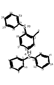 Cc1cc([SH](c2ccccc2)c2ccccc2)ccc1Sc1ccccc1